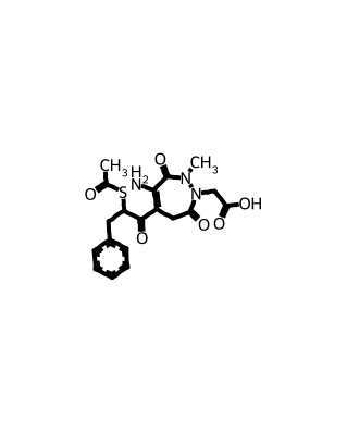 CC(=O)SC(Cc1ccccc1)C(=O)C1=C(N)C(=O)N(C)N(CC(=O)O)C(=O)C1